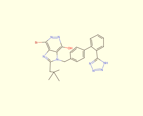 CC(C)(C)Cc1nc2c(Br)nnc(O)c2n1Cc1ccc(-c2ccccc2-c2nnn[nH]2)cc1